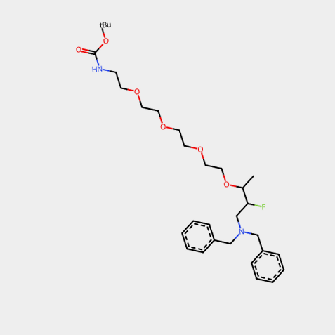 CC(OCCOCCOCCOCCNC(=O)OC(C)(C)C)C(F)CN(Cc1ccccc1)Cc1ccccc1